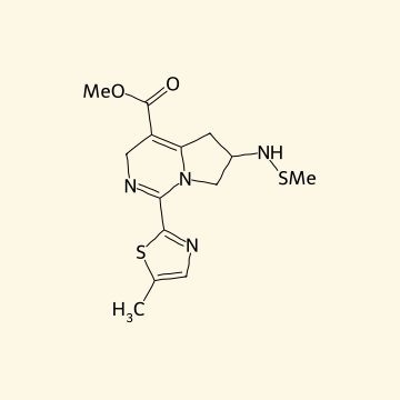 COC(=O)C1=C2CC(NSC)CN2C(c2ncc(C)s2)=NC1